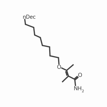 CCCCCCCCCCCCCCCCCCO/C(C)=C(\C)C(N)=O